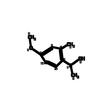 COc1cc(C)c(B(C)O)cn1